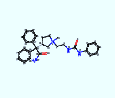 C[N+]1(CCNC(=O)Nc2ccccc2)CC[C@@H](C(C(N)=O)(c2ccccc2)c2ccccc2)C1